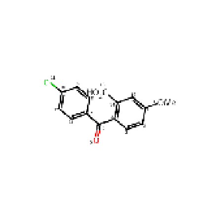 COc1ccc(C(=O)c2ccc(Cl)cc2)c(C(=O)O)c1